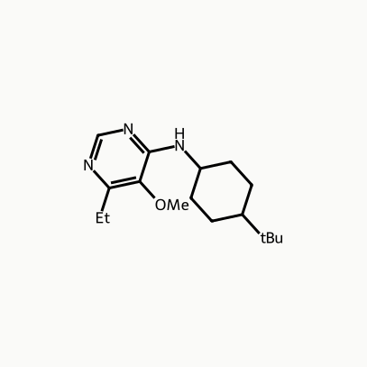 CCc1ncnc(NC2CCC(C(C)(C)C)CC2)c1OC